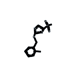 Cc1ccccc1COc1ncc(S(C)(=O)=O)s1